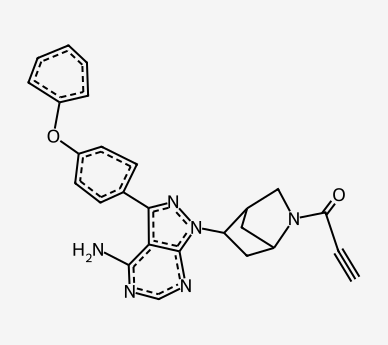 C#CC(=O)N1CC2CC1CC2n1nc(-c2ccc(Oc3ccccc3)cc2)c2c(N)ncnc21